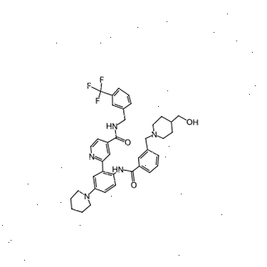 O=C(NCc1cccc(C(F)(F)F)c1)c1ccnc(-c2cc(N3CCCCC3)ccc2NC(=O)c2cccc(CN3CCC(CO)CC3)c2)c1